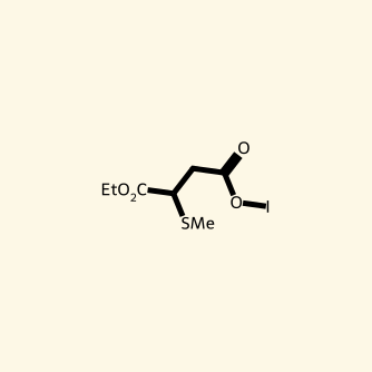 CCOC(=O)C(CC(=O)OI)SC